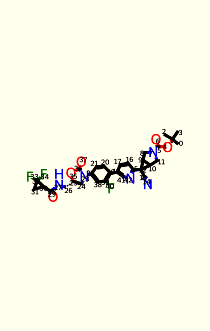 CC(C)(C)OC(=O)N1CC2C(C1)C2(C#N)c1ccc(-c2ccc(N3C[C@H](CNC(=O)C4CC4(F)F)OC3=O)cc2F)cn1